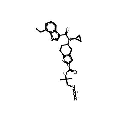 CCc1cccc2c(C(=O)N(C3CC3)C3CCc4nn(C(=O)OC(C)(C)CN=[N+]=[N-])cc4C3)csc12